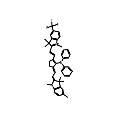 Cc1ccc2c(c1)C(C)(C)/C(=C\C=C1/CCC(/C=C/C3=[N+](C)c4ccc(C(F)(F)F)cc4C3(C)C)=C1N(c1ccccc1)c1ccccc1)N2C